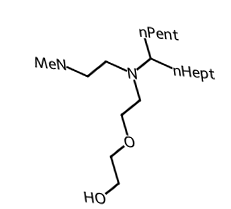 CCCCCCCC(CCCCC)N(CCNC)CCOCCO